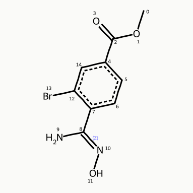 COC(=O)c1ccc(/C(N)=N/O)c(Br)c1